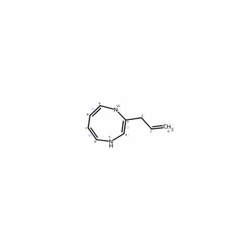 C=CC/C1=C/N/C=C\C=C/[N]1